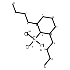 CCCCC1CCCC(CCCC)C1[Si](Cl)(Cl)Cl